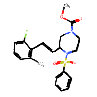 CC(C)(C)OC(=O)N1CCN(S(=O)(=O)c2ccccc2)C(C=Cc2c(F)cccc2[N+](=O)[O-])C1